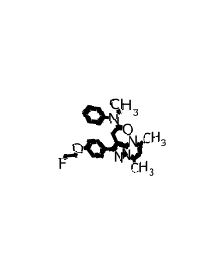 CCN(C(=O)Cc1c(-c2ccc(OCCF)cc2)nn2c(C)cc(C)nc12)c1ccccc1